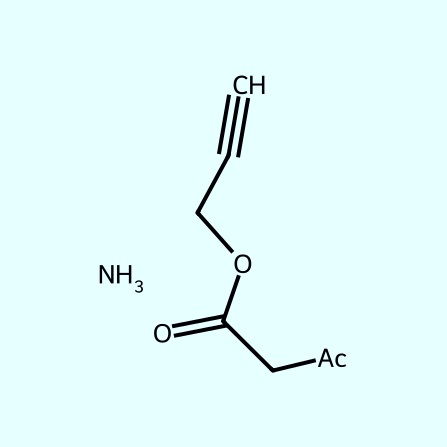 C#CCOC(=O)CC(C)=O.N